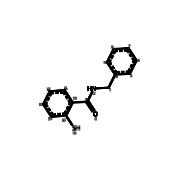 O=C(NCc1ccccc1)c1ccccc1S